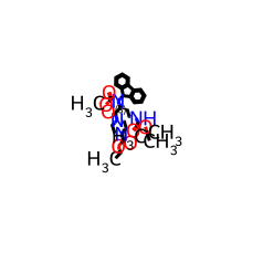 CCOC(=O)N1CCN(C(=O)[C@H](CCNC(=O)OC(C)(C)C)N(C(=O)OC)C2c3ccccc3-c3ccccc32)CC1